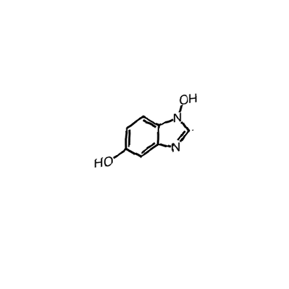 Oc1ccc2c(c1)n[c]n2O